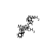 CO[C@@](C)(CCc1ccc2c(N)ncnn12)CO[PH](=O)Oc1ccccc1